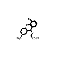 CCOC(=O)COC(c1cccc(Cl)c1F)C1CCCN(C(=O)O)C1